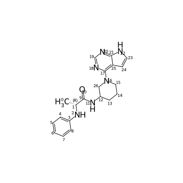 C[C@@H](Nc1ccccc1)C(=O)NC1CCCN(c2ncnc3[nH]ccc23)C1